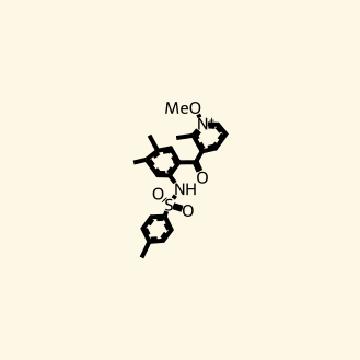 CO[n+]1cccc(C(=O)c2cc(C)c(C)cc2NS(=O)(=O)c2ccc(C)cc2)c1C